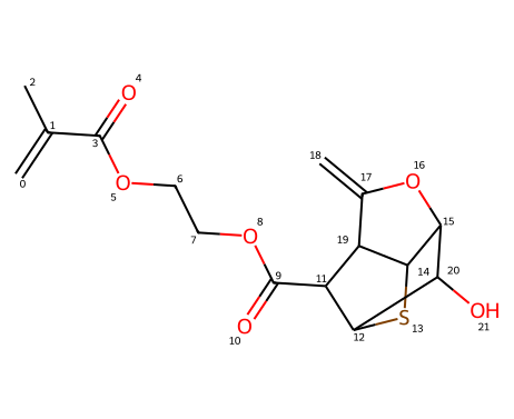 C=C(C)C(=O)OCCOC(=O)C1C2SC3C(OC(=C)C31)C2O